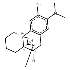 CN(C)c1cc2c(cc1O)[C@]13CCCC[C@@H]1[C@H](C2)N(C)CC3